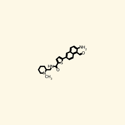 CN1CCCCC1CNC(=O)c1ccc(-c2ccc3c(C=O)c(N)ccc3c2)s1